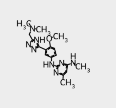 CNc1cc(C)nc(Nc2ccc(OC)c(-c3nnc(CN(C)C)[nH]3)c2)n1